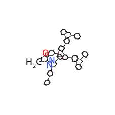 C=C1C=C(C2=NC(c3ccccc3)=CCC(c3ccc(-c4ccccc4)cc3)=N2)c2c(oc3ccc(C4Cc5ccc(-c6ccc7c(c6)-c6ccccc6CC7c6ccccc6)cc5-c5cc(-c6ccc7c(c6)-c6ccccc6CC7c6ccccc6)ccc54)cc23)C1